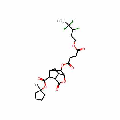 CCC1(OC(=O)C2C3CC4C(OC(=O)C42)C3OC(=O)CCC(=O)OCCC(F)C(F)(F)S(=O)(=O)O)CCCC1